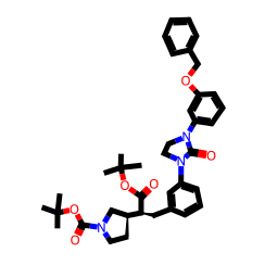 CC(C)(C)OC(=O)[C@@H](Cc1cccc(N2CCN(c3cccc(OCc4ccccc4)c3)C2=O)c1)[C@H]1CCN(C(=O)OC(C)(C)C)C1